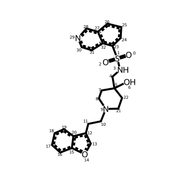 O=S(=O)(NCC1(O)CCN(CCc2coc3ccccc23)CC1)c1cccc2cnccc12